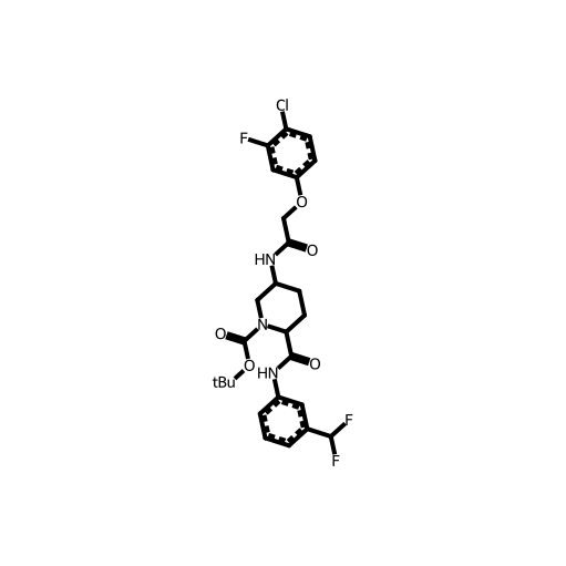 CC(C)(C)OC(=O)N1CC(NC(=O)COc2ccc(Cl)c(F)c2)CCC1C(=O)Nc1cccc(C(F)F)c1